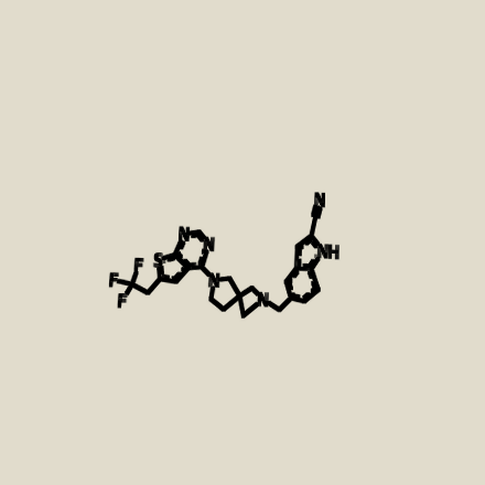 N#Cc1cc2cc(CN3CC4(CCN(c5ncnc6sc(CC(F)(F)F)cc56)C4)C3)ccc2[nH]1